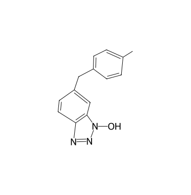 Cc1ccc(Cc2ccc3nnn(O)c3c2)cc1